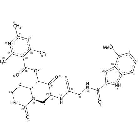 COc1cccc2[nH]c(C(=O)NCC(=O)N[C@@H](C[C@@H]3CCCNC3=O)C(=O)COC(=O)c3c(C(F)(F)F)cc(C)nc3C)cc12